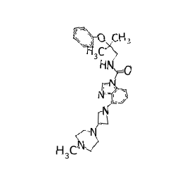 CN1CCN(C2CN(c3cccc4c3ncn4C(=O)NCC(C)(C)Oc3ccccc3)C2)CC1